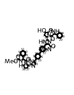 CNC(=O)c1nc([C@@H]2CCCN2C(=O)C(NC(=O)O)c2ccccc2)[nH]c1-c1ccc(-c2ccc(-c3cnc([C@@H]4CCCN4C(=O)C(NC(=O)OC)c4ccccc4)[nH]3)cc2)cc1